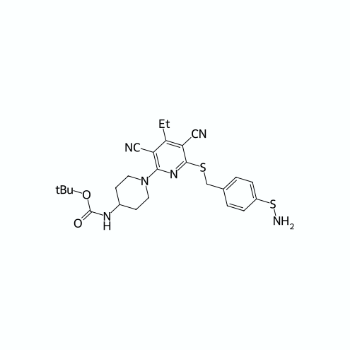 CCc1c(C#N)c(SCc2ccc(SN)cc2)nc(N2CCC(NC(=O)OC(C)(C)C)CC2)c1C#N